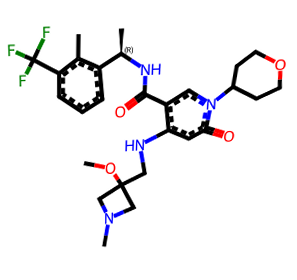 COC1(CNc2cc(=O)n(C3CCOCC3)cc2C(=O)N[C@H](C)c2cccc(C(F)(F)F)c2C)CN(C)C1